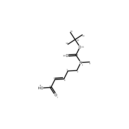 CN(CC/C=C/C(=O)O)C(=O)OC(C)(C)C